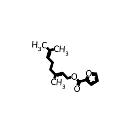 CC(C)=CCC/C(C)=C/COC(=O)c1ccco1